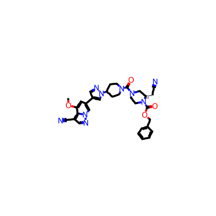 COc1cc(-c2cnn(C3CCN(C(=O)N4CCN(C(=O)OCc5ccccc5)[C@@H](CC#N)C4)CC3)c2)cn2ncc(C#N)c12